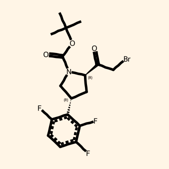 CC(C)(C)OC(=O)N1C[C@@H](c2c(F)ccc(F)c2F)C[C@@H]1C(=O)CBr